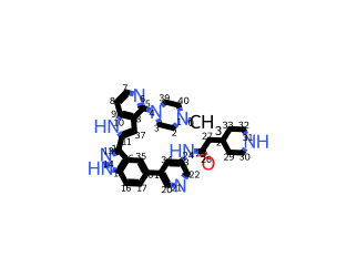 CN1CCN(c2nccc3[nH]c(-c4n[nH]c5ccc(-c6cncc(NC(=O)CC7CCNCC7)c6)cc45)cc23)CC1